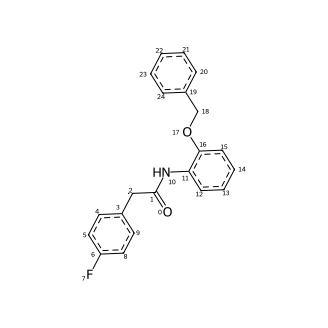 O=C([CH]c1ccc(F)cc1)Nc1ccccc1OCc1ccccc1